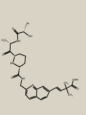 COC(=O)C(C)(C)/C=C/c1ccc2ccc(CNC(=O)[C@@H]3CCCN(C(=O)[C@H](C)NC(=O)[C@@H](O)C(C)C)N3)nc2c1